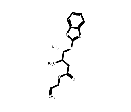 C=CCOC(=O)CC(CSc1nc2ccccc2s1)C(=O)O.N